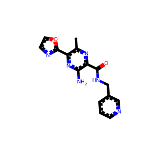 Cc1nc(C(=O)NCc2cccnc2)c(N)nc1-c1ncco1